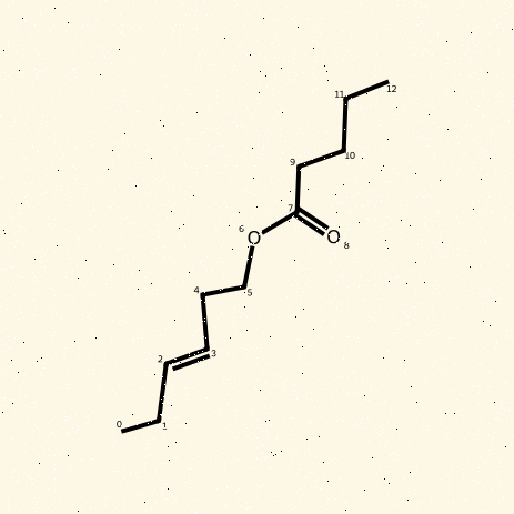 CC/C=C/CCOC(=O)CCCC